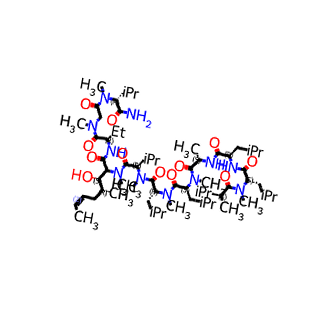 C/C=C\C[C@@H](C)[C@H](O)C(C(=O)N[C@H](CC)C(=O)N(C)CC(=O)N(C)[C@@H](C(N)=O)C(C)C)N(C)C(=O)[C@@H](C(C)C)N(C)C(=O)[C@@H](CC(C)C)N(C)C(=O)[C@H](CC(C)C)N(C)C(=O)[C@H](C)NC(=O)[C@@H](CC(C)C)NC(=O)[C@H](CC(C)C)N(C)C(=O)[C@@H](C)C(C)C